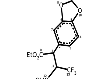 CCOC(=O)C(c1ccc2c(c1)OCO2)C(C=O)C(F)(F)F